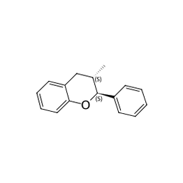 C[C@H]1Cc2ccccc2O[C@@H]1c1ccccc1